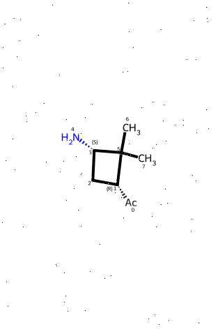 CC(=O)[C@@H]1C[C@H](N)C1(C)C